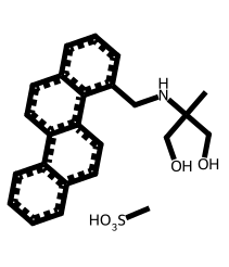 CC(CO)(CO)NCc1cccc2ccc3c4ccccc4ccc3c12.CS(=O)(=O)O